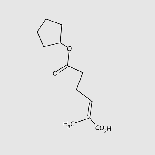 CC(=CCCC(=O)OC1CCCC1)C(=O)O